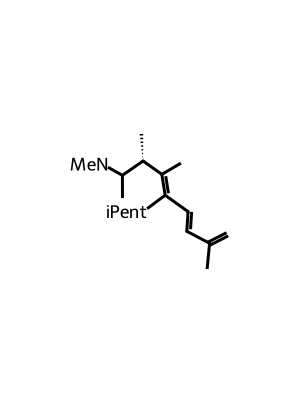 C=C(C)/C=C/C(=C(\C)[C@@H](C)C(C)NC)C(C)CCC